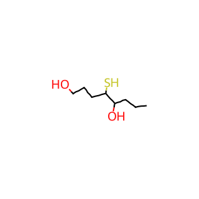 CCCC(O)C(S)CCCO